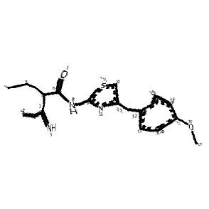 CCC(C(C)=N)C(=O)Nc1nc(-c2ccc(OC)cc2)cs1